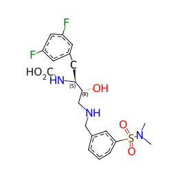 CN(C)S(=O)(=O)c1cccc(CNC[C@@H](O)[C@H](Cc2cc(F)cc(F)c2)NC(=O)O)c1